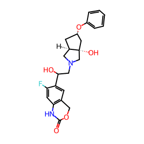 O=C1Nc2cc(F)c(C(O)CN3C[C@H]4C[C@H](Oc5ccccc5)C[C@@]4(O)C3)cc2CO1